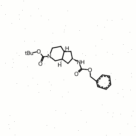 CC(C)(C)OC(=O)N1CC[C@H]2C[C@@H](NC(=O)OCc3ccccc3)C[C@H]2C1